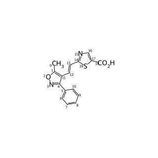 Cc1onc(-c2ccccc2)c1C=Cc1ncc(C(=O)O)s1